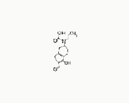 CCCN(C(=O)O)C1CCc2c(ccc(C=O)c2O)C1